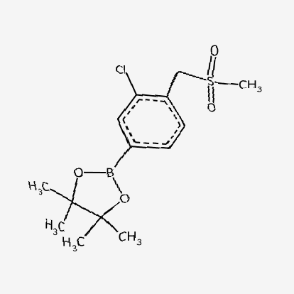 CC1(C)OB(c2ccc(CS(C)(=O)=O)c(Cl)c2)OC1(C)C